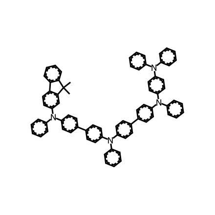 CC1(C)c2ccccc2-c2ccc(N(c3ccccc3)c3ccc(-c4ccc(N(c5ccccc5)c5ccc(-c6ccc(N(c7ccccc7)c7ccc(N(c8ccccc8)c8ccccc8)cc7)cc6)cc5)cc4)cc3)cc21